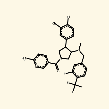 CN(Cc1ccc(C(F)(F)F)c(F)c1)C1CN(C(=O)c2ccc(N)nc2)CC1c1ccc(Cl)c(Cl)c1